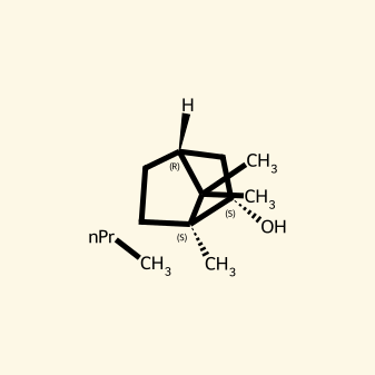 CC1(C)[C@@H]2CC[C@]1(C)[C@@H](O)C2.CCCC